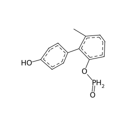 Cc1cccc(O[PH2]=O)c1-c1ccc(O)cc1